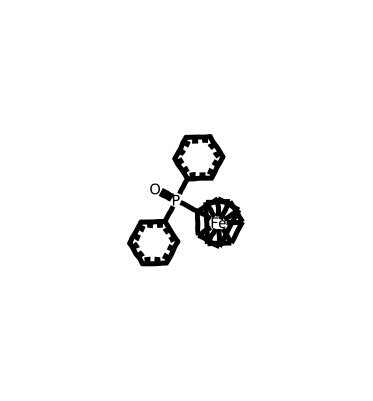 O=P(c1ccccc1)(c1ccccc1)[C]12[CH]3[CH]4[CH]5[CH]1[Fe]45321678[CH]2[CH]1[CH]6[CH]7[CH]28